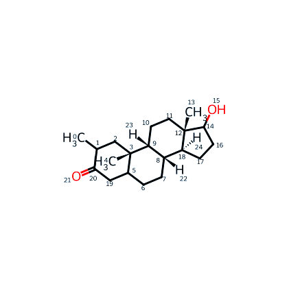 CC1C[C@@]2(C)C(CC[C@@H]3[C@H]2CC[C@]2(C)C(O)CC[C@@H]32)CC1=O